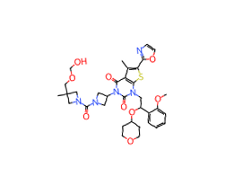 COc1ccccc1C(Cn1c(=O)n(C2CN(C(=O)N3CC(C)(COCO)C3)C2)c(=O)c2c(C)c(-c3ncco3)sc21)OC1CCOCC1